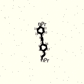 CCCC=Cc1ccc(C#Cc2ccc(CCC)cc2)cc1